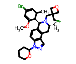 COC1=CC(Br)=CC(C)C1[C@@H]1c2ccc3c(cnn3C3CCCCO3)c2C[C@@H](C)N1CC1(CF)COC1